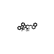 O=C(O)c1[nH]c2c(-c3ccccc3C(F)(F)F)cccc2c1CCCN1CCCc2ccccc21